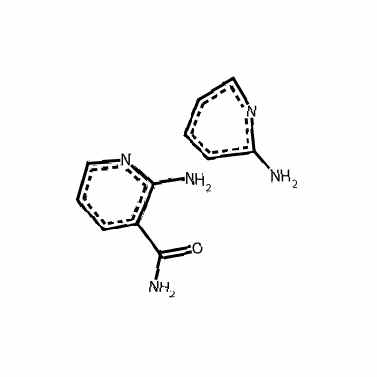 NC(=O)c1cccnc1N.Nc1ccccn1